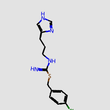 N=C(NCCCc1c[nH]cn1)SCc1ccc(Cl)cc1